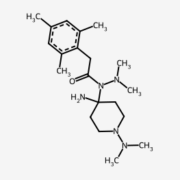 Cc1cc(C)c(CC(=O)N(N(C)C)C2(N)CCN(N(C)C)CC2)c(C)c1